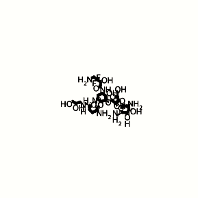 NC[C@@H]1O[C@H](O[C@H]2[C@@H](O)[C@H](O[C@@H]3[C@@H](O)[C@H](NC(=O)C(O)C(F)(F)CN)C[C@H](N)[C@H]3O[C@H]3O[C@H](CNCC(O)CO)CC[C@H]3N)O[C@@H]2CO)[C@H](N)[C@@H](O)[C@@H]1O